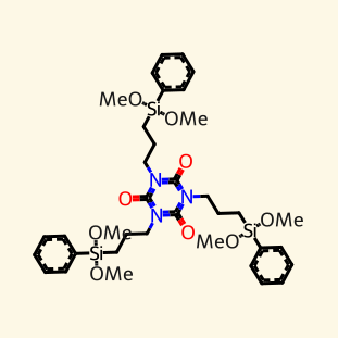 CO[Si](CCCn1c(=O)n(CCC[Si](OC)(OC)c2ccccc2)c(=O)n(CCC[Si](OC)(OC)c2ccccc2)c1=O)(OC)c1ccccc1